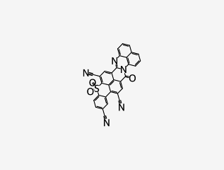 N#Cc1ccc2c(c1)-c1c(C#N)cc3c(=O)n4c5cccc6cccc(nc4c4cc(C#N)c(c1c34)S2(=O)=O)c65